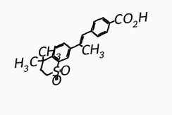 CC(=Cc1ccc(C(=O)O)cc1)c1ccc2c(c1)S(=O)(=O)CCC2(C)C